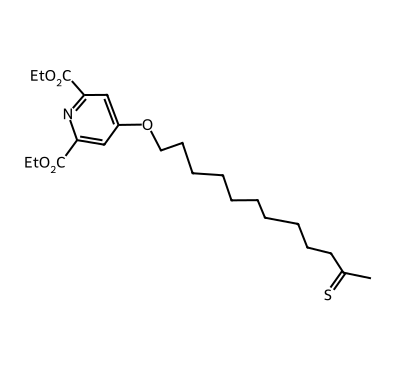 CCOC(=O)c1cc(OCCCCCCCCCCC(C)=S)cc(C(=O)OCC)n1